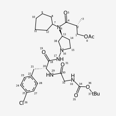 CC(=O)OC[C@@H](C)C(=O)N(C1CCCCC1)[C@H]1CCN(NC(=O)[C@@H](Cc2ccc(Cl)cc2)NC(=O)CNC(=O)OC(C)(C)C)C1